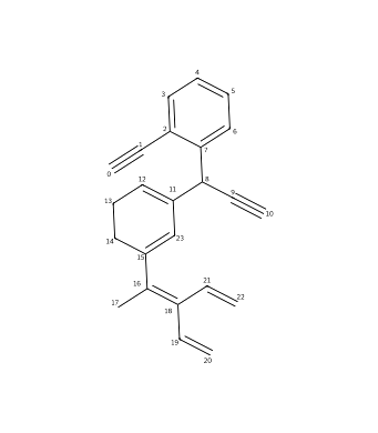 C#Cc1ccccc1C(C#C)C1=CCCC(C(C)=C(C=C)C=C)=C1